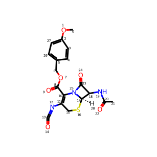 COc1ccc(COC(=O)C2=C(N=C=O)CS[C@@H]3C(NC(C)=O)C(=O)N23)cc1